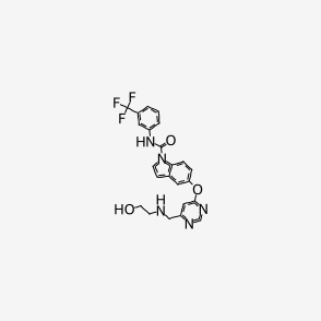 O=C(Nc1cccc(C(F)(F)F)c1)n1ccc2cc(Oc3cc(CNCCO)ncn3)ccc21